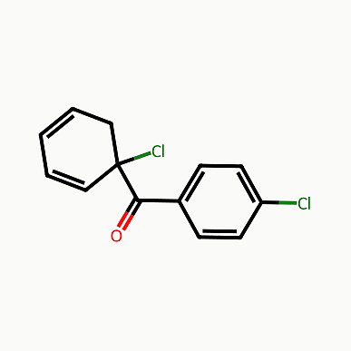 O=C(c1ccc(Cl)cc1)C1(Cl)C=CC=CC1